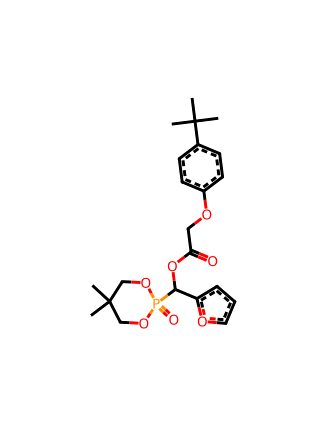 CC1(C)COP(=O)(C(OC(=O)COc2ccc(C(C)(C)C)cc2)c2ccco2)OC1